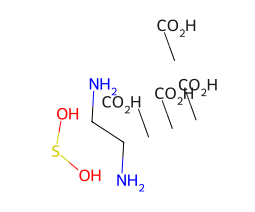 CC(=O)O.CC(=O)O.CC(=O)O.CC(=O)O.NCCN.OSO